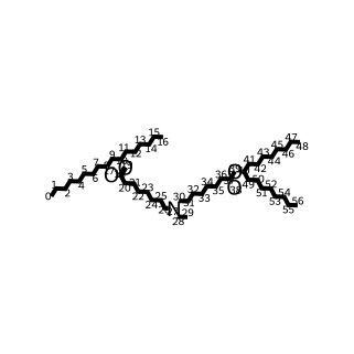 CCCCCCCCC(CCCCCCCC)OC(=O)CCCCCCCN(CC)CCCCCCCC(=O)OC(CCCCCCCC)CCCCCCCC